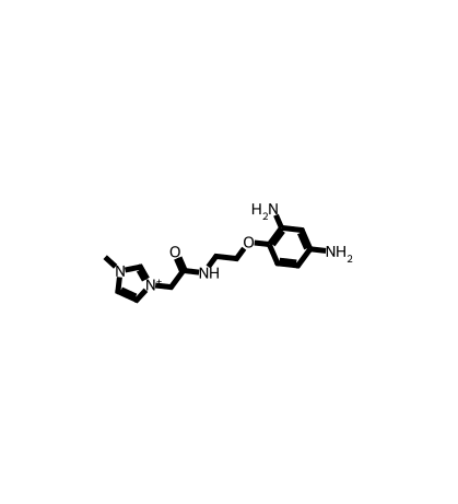 Cn1cc[n+](CC(=O)NCCOc2ccc(N)cc2N)c1